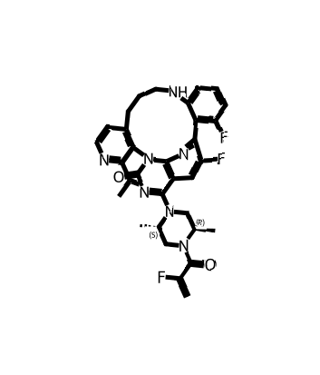 C=C(F)C(=O)N1C[C@H](C)N(c2nc(=O)n3c4nc(c(F)cc24)-c2c(F)cccc2NCCCc2ccnc(C(C)C)c2-3)C[C@H]1C